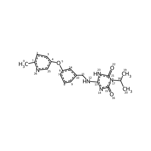 Cc1ccc(Oc2cccc(CNc3nc(=O)n(C(C)C)c(=O)[nH]3)c2)cn1